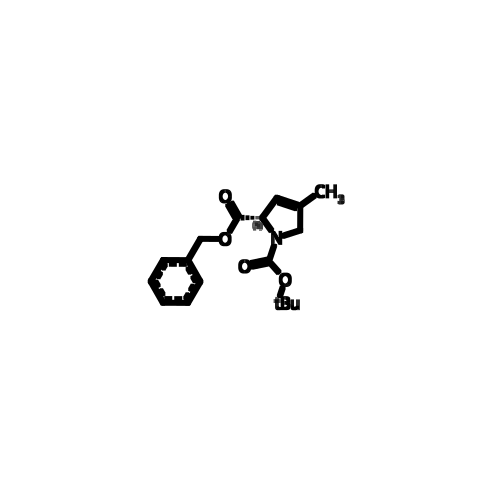 CC1=C[C@@H](C(=O)OCc2ccccc2)N(C(=O)OC(C)(C)C)C1